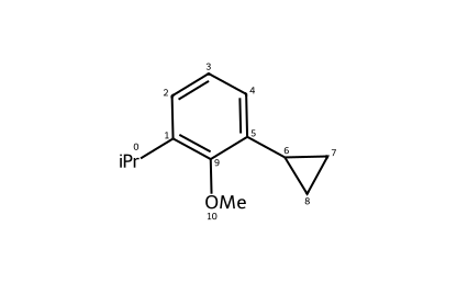 [CH2]C(C)c1cccc(C2CC2)c1OC